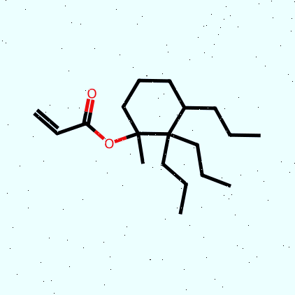 C=CC(=O)OC1(C)CCCC(CCC)C1(CCC)CCC